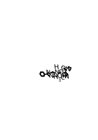 Cn1ncc(C(=O)N2CCC2)c1OC(=O)Nc1cc2nc(-c3ccccc3)cn2cn1